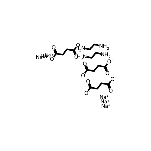 NCCN.NCCN.O=C([O-])CCC(=O)[O-].O=C([O-])CCC(=O)[O-].O=C([O-])CCC(=O)[O-].[Na+].[Na+].[Na+].[Na+].[Na+].[Na+]